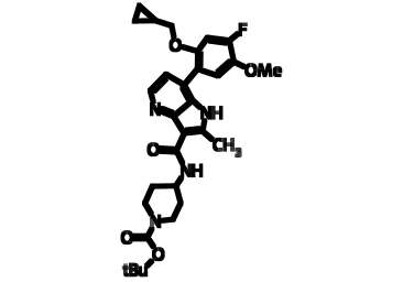 COc1cc(-c2ccnc3c(C(=O)NC4CCN(C(=O)OC(C)(C)C)CC4)c(C)[nH]c23)c(OCC2CC2)cc1F